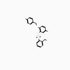 O=C(O)Cc1ccccc1S(=O)(=O)Nc1cc(Cl)ccc1OCc1ccc(C(=O)O)cc1